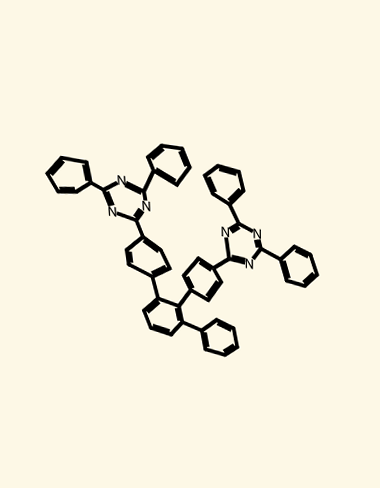 c1ccc(-c2nc(-c3ccccc3)nc(-c3ccc(-c4cccc(-c5ccccc5)c4-c4ccc(-c5nc(-c6ccccc6)nc(-c6ccccc6)n5)cc4)cc3)n2)cc1